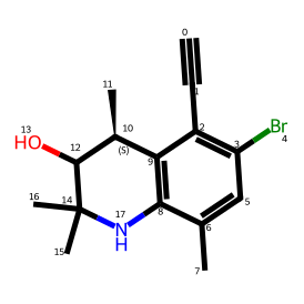 C#Cc1c(Br)cc(C)c2c1[C@H](C)C(O)C(C)(C)N2